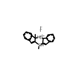 C[SiH]1C2=Cc3ccccc3[CH]2[Hf+2][C]2(C)C1=Cc1ccccc12.[I-].[I-]